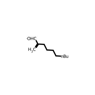 C=C([C]=O)CCCCCCCC